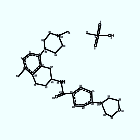 CS(=O)(=O)O.Cc1ccc(N2CCN(C)CC2)c2c1CCC(NC(=O)c1ccc(N3CCOCC3)cc1)C2